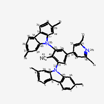 Cc1ccc2c3ccc(C)cc3n(-c3cc(-c4cc(C)nc(C)c4)cc(-n4c5cc(C)ccc5c5ccc(C)cc54)c3C#N)c2c1